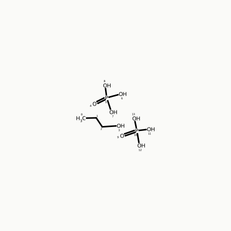 CCCO.O=P(O)(O)O.O=P(O)(O)O